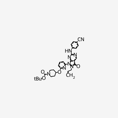 C=CCn1c(=O)c2cnc(Nc3ccc(C#N)cc3)nc2n1-c1cccc(OC2CCN(C(=O)OC(C)(C)C)CC2)n1